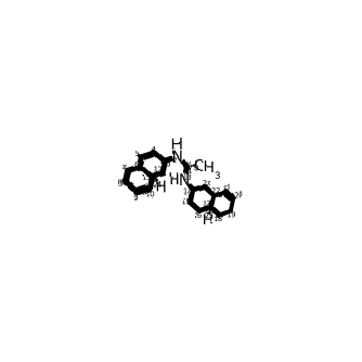 C[C@@H](NC1C=CC2CCC=C[C@H]2C1)NC1CC[C@@H]2CCC=CC2C1